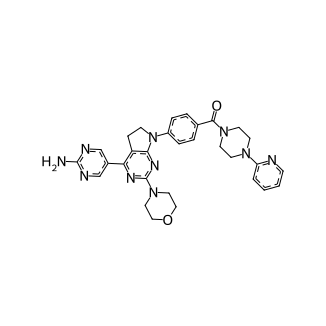 Nc1ncc(-c2nc(N3CCOCC3)nc3c2CCN3c2ccc(C(=O)N3CCN(c4ccccn4)CC3)cc2)cn1